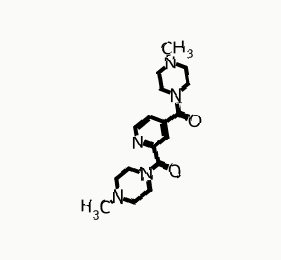 CN1CCN(C(=O)c2ccnc(C(=O)N3CCN(C)CC3)c2)CC1